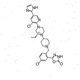 CC[C@H]1CN(c2ncc(-c3ncc[nH]3)cc2Cl)CCN1C1CCN(Cc2ccc(Cl)cc2-c2n[nH]c(=O)o2)CC1